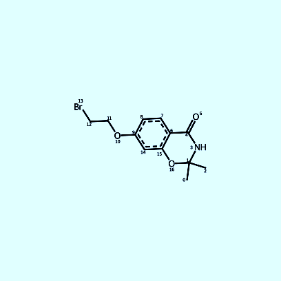 CC1(C)NC(=O)c2ccc(OCCBr)cc2O1